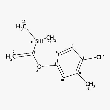 C=C(Oc1ccc(Cl)c(C)c1)[SiH](C)C